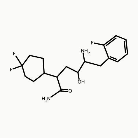 NC(=O)C(CC(O)C(N)Cc1ccccc1F)C1CCC(F)(F)CC1